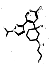 NC1(c2cc(Cl)ncc2-c2ccn(C(F)F)n2)CCCC(NCCF)C1